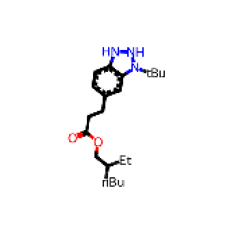 CCCCC(CC)COC(=O)CCc1ccc2c(c1)N(C(C)(C)C)NN2